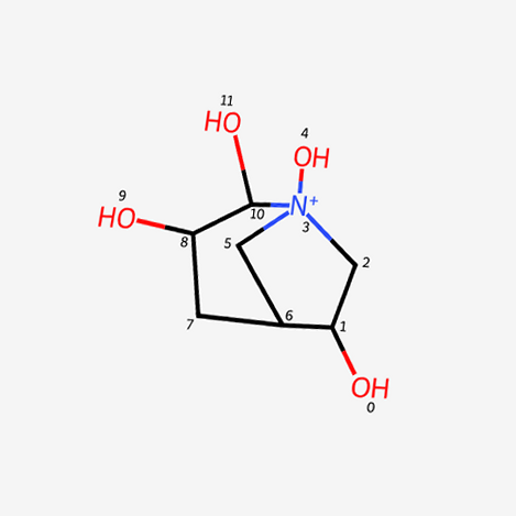 OC1C[N+]2(O)CC1CC(O)C2O